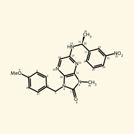 COc1ccc(Cn2c(=O)n(C)c3nc(N[C@@H](C)c4cccc([N+](=O)[O-])c4)cnc32)cc1